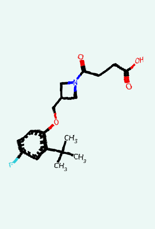 CC(C)(C)c1cc(F)ccc1OCC1CN(C(=O)CCC(=O)O)C1